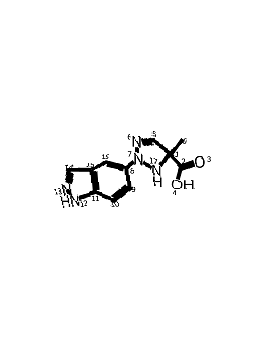 CC1(C(=O)O)C=NN(c2ccc3[nH]ncc3c2)N1